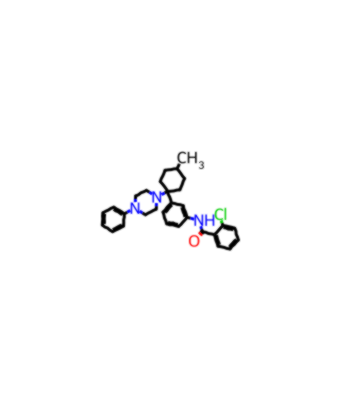 CC1CCC(c2cccc(NC(=O)c3ccccc3Cl)c2)(N2CCN(c3ccccc3)CC2)CC1